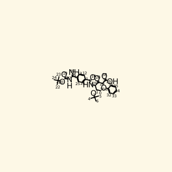 CC(OC(C)(C)C)C(NC(=O)c1ccc(C(=N)NC(=O)OC(C)(C)C)cc1)C(=O)C(Oc1ccccc1)C(=O)O